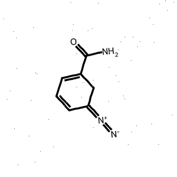 [N-]=[N+]=C1C=CC=C(C(N)=O)C1